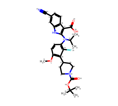 COc1ccc(N(c2[nH]c3cc(C#N)ccc3c2C(=O)O)C(C)C)c(F)c1C1CCN(C(=O)OC(C)(C)C)CC1